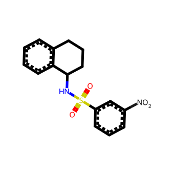 O=[N+]([O-])c1cccc(S(=O)(=O)NC2CCCc3ccccc32)c1